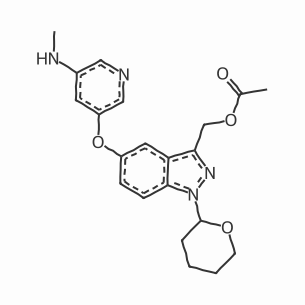 CNc1cncc(Oc2ccc3c(c2)c(COC(C)=O)nn3C2CCCCO2)c1